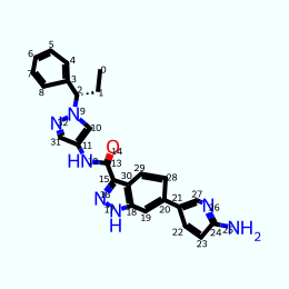 CC[C@@H](c1ccccc1)n1cc(NC(=O)c2n[nH]c3cc(-c4ccc(N)nc4)ccc23)cn1